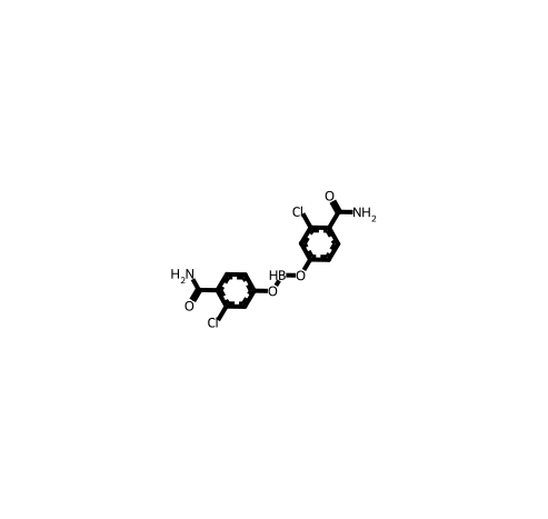 NC(=O)c1ccc(OBOc2ccc(C(N)=O)c(Cl)c2)cc1Cl